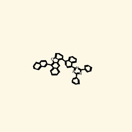 c1ccc(-c2nc(-c3ccccc3)nc(-c3ccc(-c4cccc5oc6c(-c7ccc8ccccc8c7)c7ccccc7cc6c45)c4ccccc34)n2)cc1